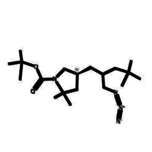 CC(C)(C)CC(CN=[N+]=[N-])C[C@@H]1CN(C(=O)OC(C)(C)C)C(C)(C)C1